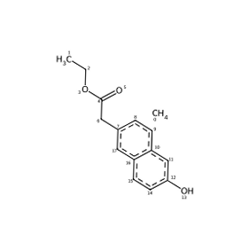 C.CCOC(=O)Cc1ccc2cc(O)ccc2c1